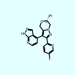 CC(C)[C@@H]1Cn2nc(-c3ccc(F)cn3)c(-c3ccnc4[nH]ncc34)c2CO1